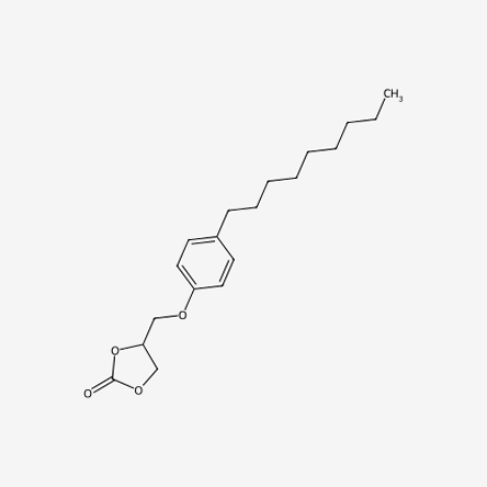 CCCCCCCCCc1ccc(OCC2COC(=O)O2)cc1